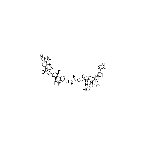 Cc1ncsc1-c1ccc(CNC(=O)[C@@H]2C[C@@H](O)CN2C(=O)[C@@H](NC(=O)COCC(F)C(F)COc2ccc(-c3ncc(N4C(=S)N(c5ccc(C#N)c(C(F)(F)F)c5F)C(=O)C4(C)C)cc3F)c(C(F)(F)F)c2)C(C)(C)C)cc1